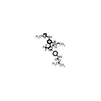 CCNS(=O)(=O)c1cc(Nc2ccn(C)n2)ccc1-c1sc([C@H]2CC[C@H](NC(=O)OC(C)C)CC2)nc1C(F)(F)F